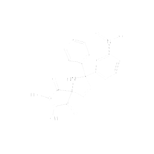 COC(=O)C1(C(=O)OC)C=CC(c2ccccc2)(c2cccc([N+](=O)[O-])c2)N1